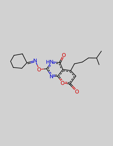 CC(C)CCCc1cc(=O)oc2nc(ON=C3CCCCC3)[nH]c(=O)c12